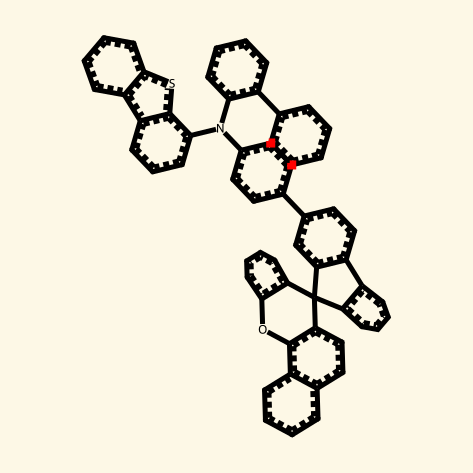 c1ccc(-c2ccccc2N(c2ccc(-c3ccc4c(c3)C3(c5ccccc5Oc5c3ccc3ccccc53)c3ccccc3-4)cc2)c2cccc3c2sc2ccccc23)cc1